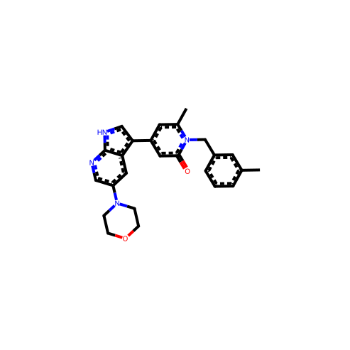 Cc1cccc(Cn2c(C)cc(-c3c[nH]c4ncc(N5CCOCC5)cc34)cc2=O)c1